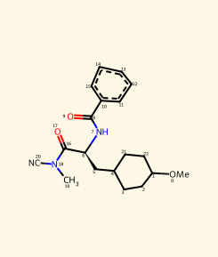 COC1CCC(C[C@H](NC(=O)c2ccccc2)C(=O)N(C)C#N)CC1